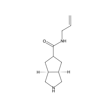 C=CCNC(=O)C1C[C@H]2CNC[C@H]2C1